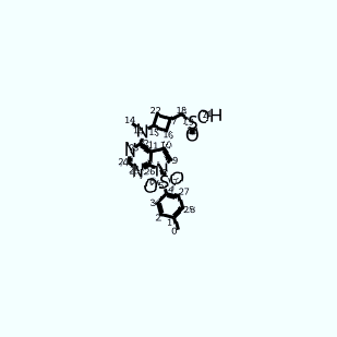 Cc1ccc(S(=O)(=O)n2ccc3c(N(C)C4CC(CS(=O)O)C4)ncnc32)cc1